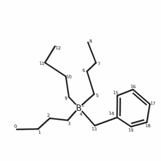 CCCC[B-](CCCC)(CCCC)Cc1ccccc1